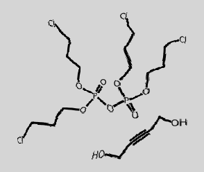 O=P(OCCCCl)(OCCCCl)OP(=O)(OCCCCl)OCCCCl.OCC#CCO